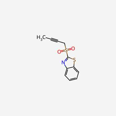 CC#CCS(=O)(=O)c1nc2ccccc2s1